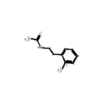 O=C(NCCc1ccccc1C(F)(F)F)C(F)(F)F